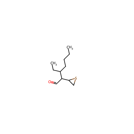 CCCCC(CC)C(C=O)C1CS1